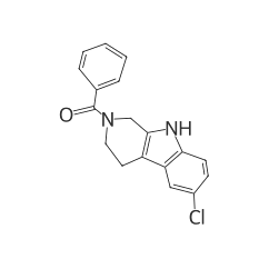 O=C(c1ccccc1)N1CCc2c([nH]c3ccc(Cl)cc23)C1